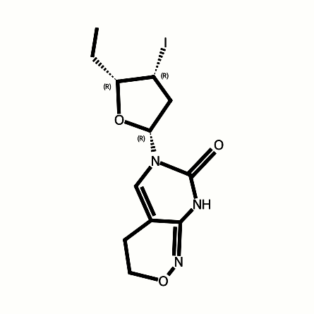 CC[C@H]1O[C@@H](N2C=C3CCON=C3NC2=O)C[C@H]1I